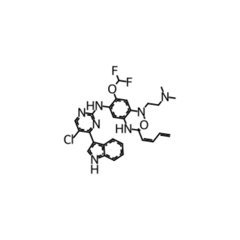 C=C/C=C\C(=O)Nc1cc(Nc2ncc(Cl)c(-c3c[nH]c4ccccc34)n2)c(OC(F)F)cc1N(C)CCN(C)C